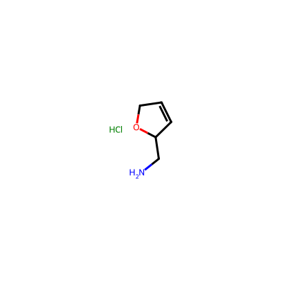 Cl.NCC1C=CCO1